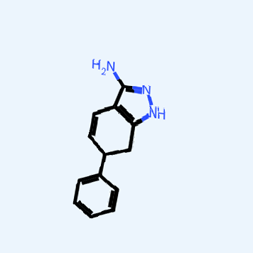 Nc1n[nH]c2c1C=CC(c1ccccc1)C2